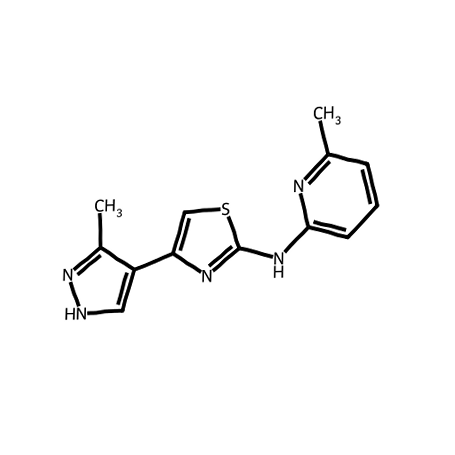 Cc1cccc(Nc2nc(-c3c[nH]nc3C)cs2)n1